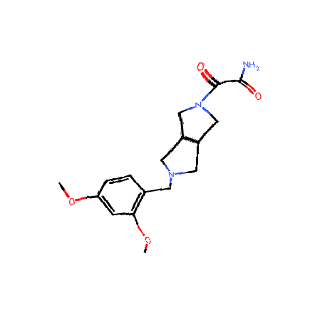 COc1ccc(CN2CC3CN(C(=O)C(N)=O)CC3C2)c(OC)c1